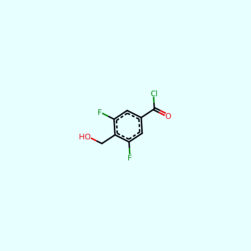 O=C(Cl)c1cc(F)c(CO)c(F)c1